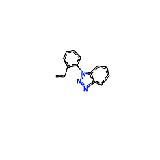 C=Cc1ccccc1-n1nnc2ccccc21